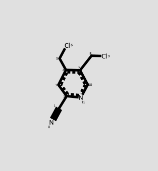 N#Cc1cc(CCl)c(CCl)cn1